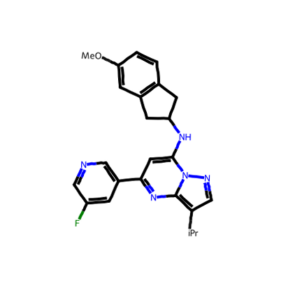 COc1ccc2c(c1)CC(Nc1cc(-c3cncc(F)c3)nc3c(C(C)C)cnn13)C2